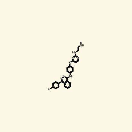 CNCCNc1nccc(Sc2ccc(Nc3nnc(-c4ccc(Cl)cc4)c4ccccc34)cc2)n1